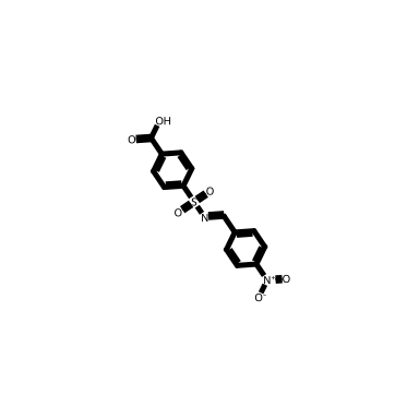 O=C(O)c1ccc(S(=O)(=O)/N=C/c2ccc([N+](=O)[O-])cc2)cc1